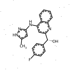 Cc1cc(Nc2cc([C@H](O)c3ccc(F)cc3)nc3ccccc23)n[nH]1